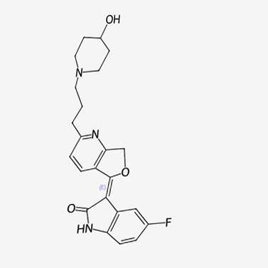 O=C1Nc2ccc(F)cc2/C1=C1\OCc2nc(CCCN3CCC(O)CC3)ccc21